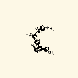 COc1ccc(C(=O)NC[C@@H]2CN(c3cnc(-c4cc(-c5cnn(C)c5)cn5ncc(C#N)c45)cn3)CC2C)cn1